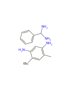 Cc1cc(C(C)(C)C)c(N)cc1N.NC(N)c1ccccc1